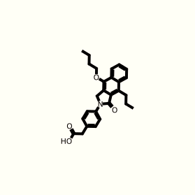 CCCCOc1c2c(c(CCC)c3ccccc13)C(=O)N(c1ccc(CC(=O)O)cc1)C2